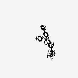 CN1CCC(n2c(=O)n(Cc3ccc(-c4nnc(C(F)F)o4)cn3)c3ccc(-c4ccco4)cc32)CC1